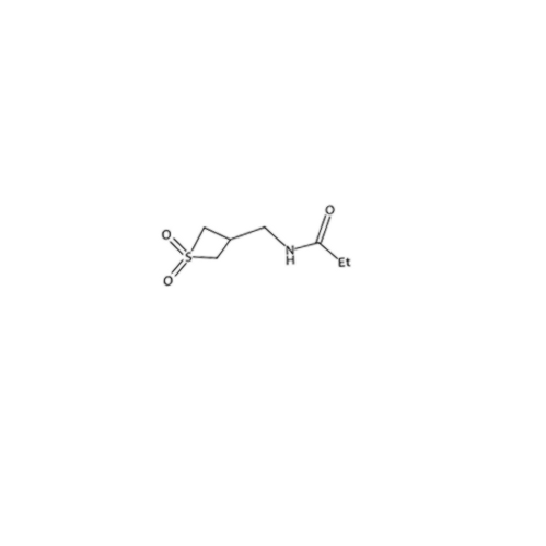 CCC(=O)NCC1CS(=O)(=O)C1